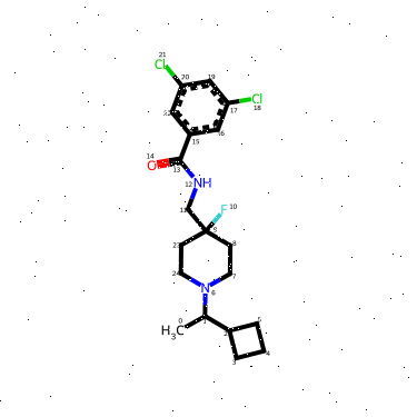 CC(C1CCC1)N1CCC(F)(CNC(=O)c2cc(Cl)cc(Cl)c2)CC1